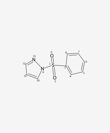 O=S(=O)(c1ccccc1)n1c[c]cn1